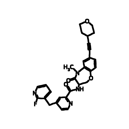 CN1C(=O)C(NC(=O)c2cc(Cc3cccnc3F)ccn2)COc2ccc(C#CC3CCOCC3)cc21